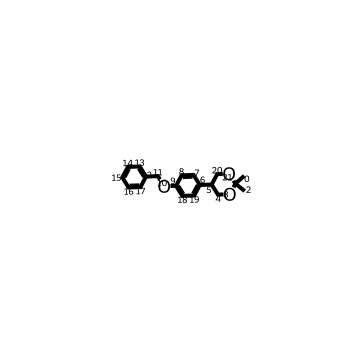 CC1(C)OCC(c2ccc(OCc3ccccc3)cc2)CO1